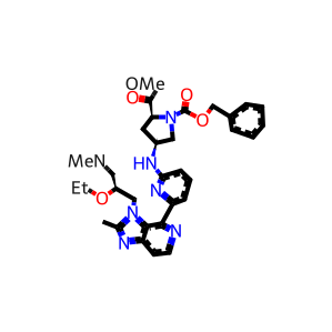 CCO[C@@H](CNC)Cn1c(C)nc2ccnc(-c3cccc(N[C@H]4C[C@@H](C(=O)OC)N(C(=O)OCc5ccccc5)C4)n3)c21